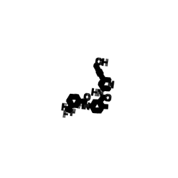 Cc1ccc(NC(=O)c2cccc(C(F)(F)F)c2)cc1C(=O)Nc1cncc(C#CCO)c1